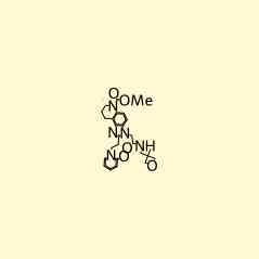 COC(=O)N1c2ccc3c(nc(CCn4ccccc4=O)n3CC(=O)NCC3(C)COC3)c2CC[C@@H]1C